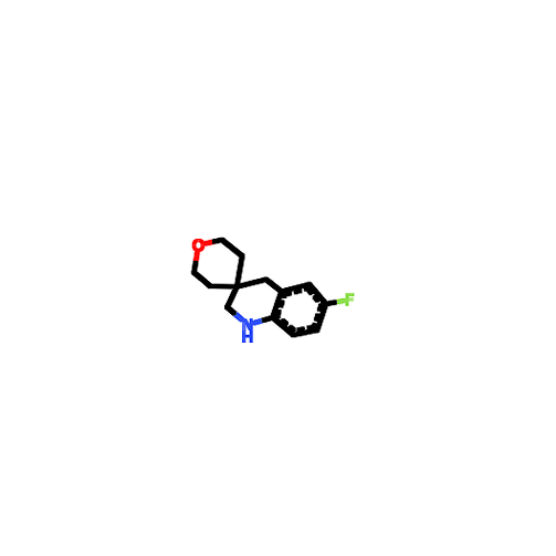 Fc1ccc2c(c1)CC1(CCOCC1)CN2